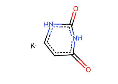 O=c1cc[nH]c(=O)[nH]1.[K]